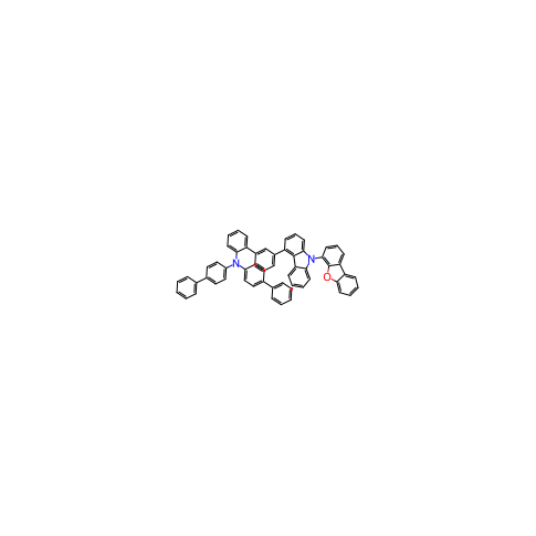 c1ccc(-c2ccc(N(c3ccc(-c4ccccc4)cc3)c3ccccc3-c3cccc(-c4cccc5c4c4ccccc4n5-c4cccc5c4oc4ccccc45)c3)cc2)cc1